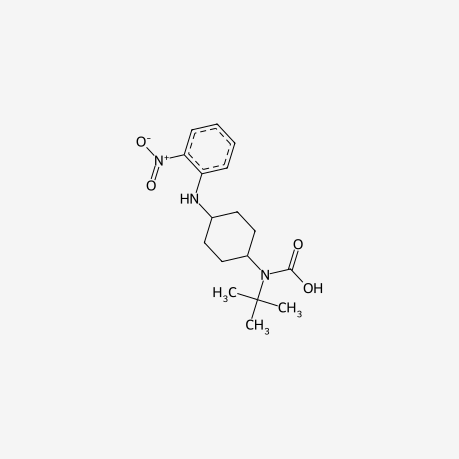 CC(C)(C)N(C(=O)O)C1CCC(Nc2ccccc2[N+](=O)[O-])CC1